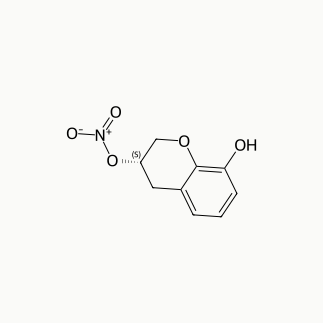 O=[N+]([O-])O[C@@H]1COc2c(O)cccc2C1